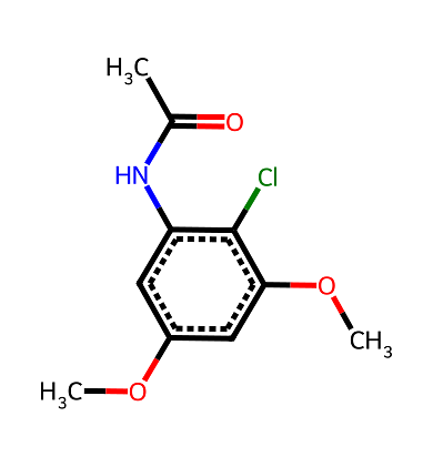 COc1cc(NC(C)=O)c(Cl)c(OC)c1